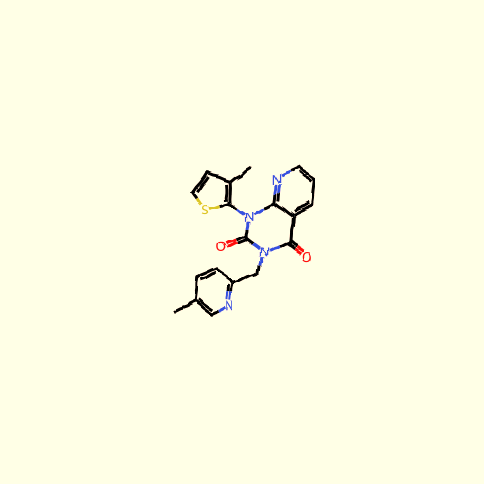 Cc1ccc(Cn2c(=O)c3cccnc3n(-c3sccc3C)c2=O)nc1